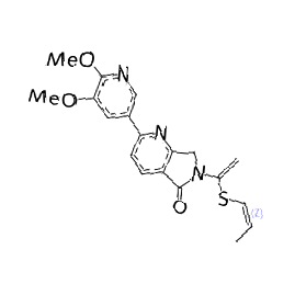 C=C(S/C=C\C)N1Cc2nc(-c3cnc(OC)c(OC)c3)ccc2C1=O